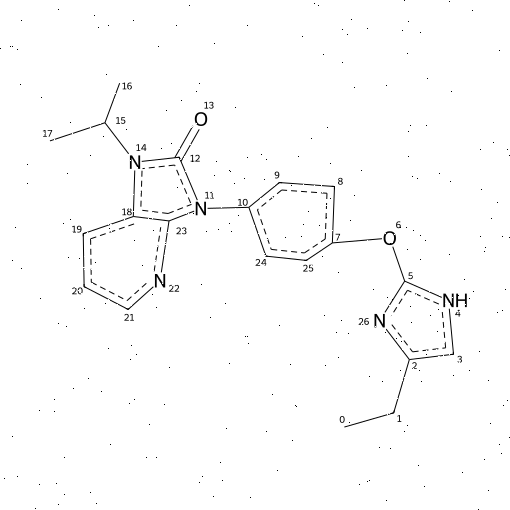 CCc1c[nH]c(Oc2ccc(-n3c(=O)n(C(C)C)c4cccnc43)cc2)n1